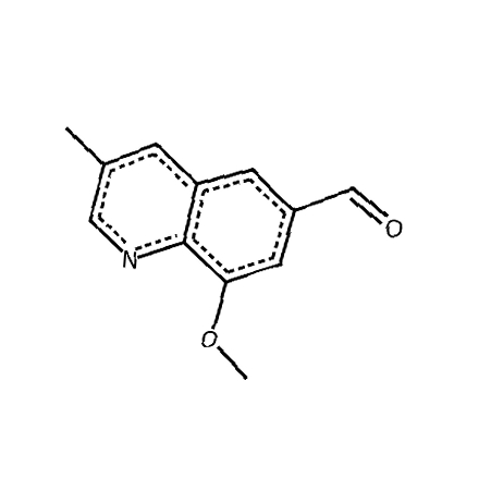 COc1cc(C=O)cc2cc(C)cnc12